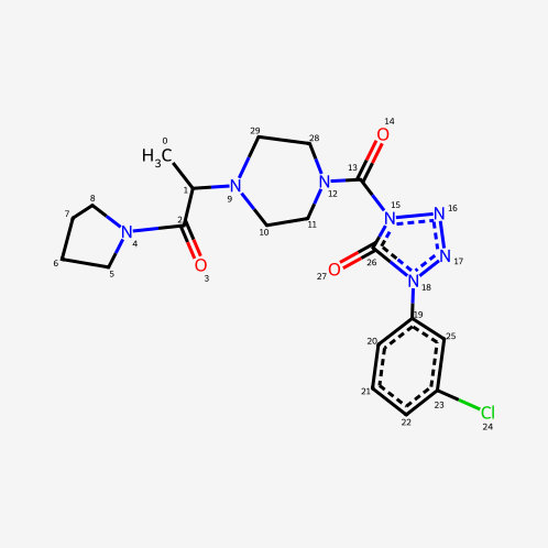 CC(C(=O)N1CCCC1)N1CCN(C(=O)n2nnn(-c3cccc(Cl)c3)c2=O)CC1